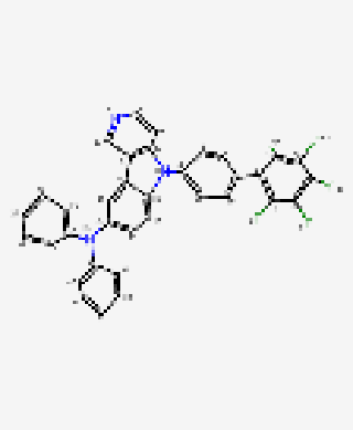 Fc1c(F)c(F)c(-c2ccc(-n3c4ccncc4c4cc(N(c5ccccc5)c5ccccc5)ccc43)cc2)c(F)c1F